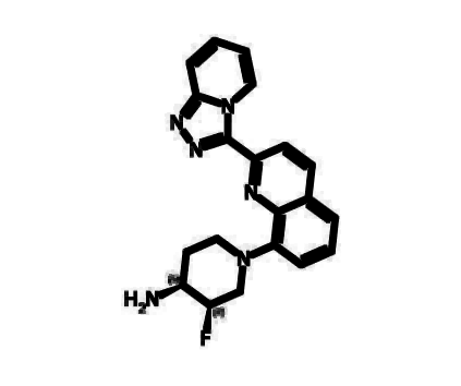 N[C@H]1CCN(c2cccc3ccc(-c4nnc5ccccn45)nc23)C[C@H]1F